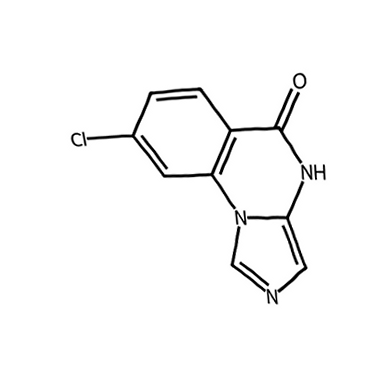 O=c1[nH]c2cncn2c2cc(Cl)ccc12